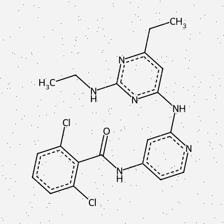 CCNc1nc(CC)cc(Nc2cc(NC(=O)c3c(Cl)cccc3Cl)ccn2)n1